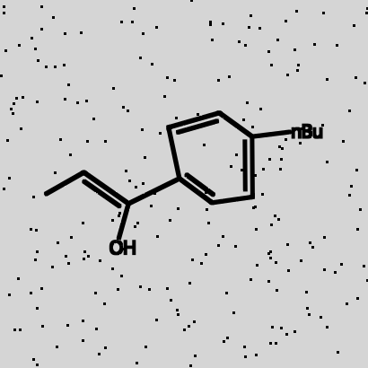 CC=C(O)c1ccc(CCCC)cc1